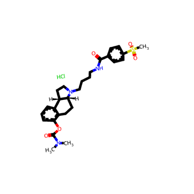 CN(C)C(=O)Oc1cccc2c1CC[C@@H]1[C@H]2CCN1CCCCNC(=O)c1ccc(S(C)(=O)=O)cc1.Cl